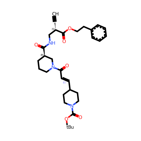 C#C[C@@H](CNC(=O)[C@@H]1CCCN(C(=O)/C=C/C2CCN(C(=O)OC(C)(C)C)CC2)C1)C(=O)OCCc1ccccc1